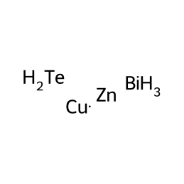 [BiH3].[Cu].[TeH2].[Zn]